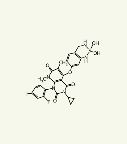 Cc1c(Oc2ccc3c(c2)NS(O)(O)NC3)c2c(=O)n(C3CC3)c(=O)n(-c3ccc(I)cc3F)c2n(C)c1=O